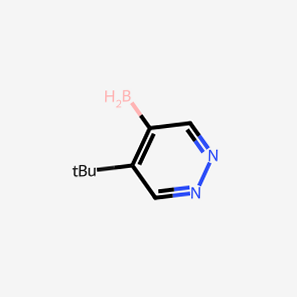 Bc1cnncc1C(C)(C)C